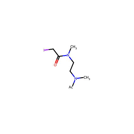 CC(=O)N(C)CCN(C)C(=O)CI